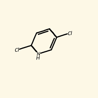 ClC1=CNC(Cl)C=C1